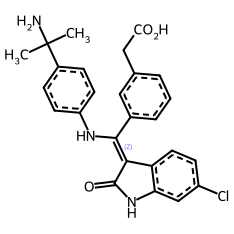 CC(C)(N)c1ccc(N/C(=C2\C(=O)Nc3cc(Cl)ccc32)c2cccc(CC(=O)O)c2)cc1